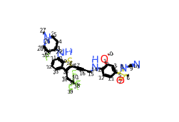 COc1cc(S(C)(=O)=NC#N)ccc1NCC#Cc1sc2c(N[C@H]3CCN(C)C[C@@H]3F)cccc2c1CC(F)(F)F